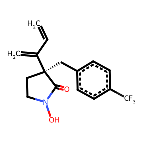 C=CC(=C)[C@]1(Cc2ccc(C(F)(F)F)cc2)CCN(O)C1=O